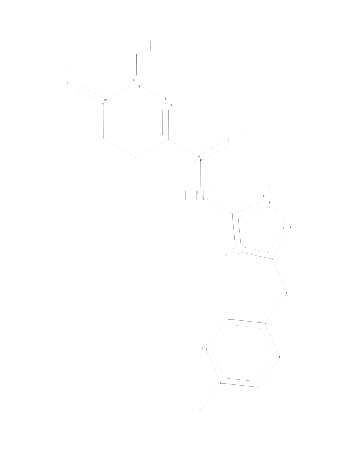 CN1N=C(C(=O)Nc2ncc(Cc3ccc(Cl)cc3)s2)CCC1=O